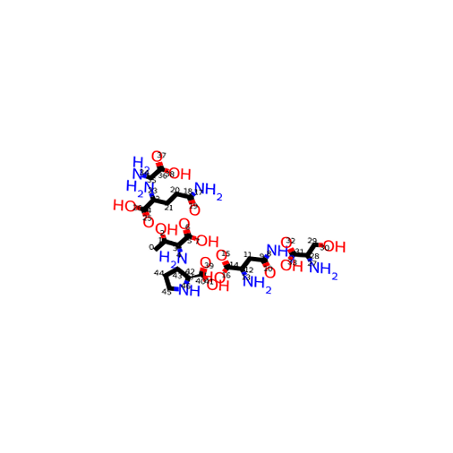 CC(O)C(N)C(=O)O.NC(=O)CC(N)C(=O)O.NC(=O)CCC(N)C(=O)O.NC(CO)C(=O)O.NCC(=O)O.O=C(O)[C@@H]1CCCN1